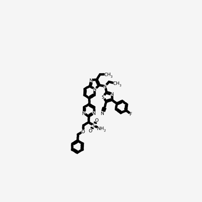 CCc1nc2ccc(-c3cnc(C(COCc4ccccc4)S(N)(=O)=O)nc3)cn2c1N(CC)c1nc(-c2ccc(F)cc2)c(C#N)s1